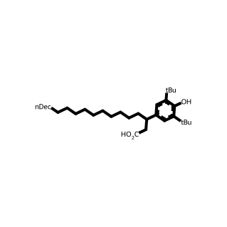 CCCCCCCCCCCCCCCCCCCCC(CC(=O)O)c1cc(C(C)(C)C)c(O)c(C(C)(C)C)c1